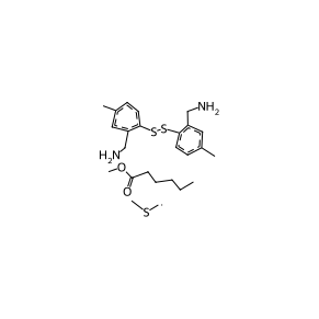 CCCCCC(=O)OC.Cc1ccc(SSc2ccc(C)cc2CN)c(CN)c1.[CH2]SC